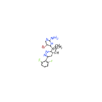 CC1(C)[C@H]2CC[C@@]1(c1nc(N)ncc1Br)c1nnc(-c3c(F)cccc3F)cc12